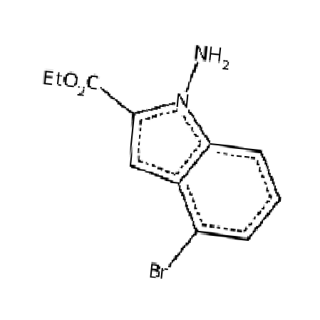 CCOC(=O)c1cc2c(Br)cccc2n1N